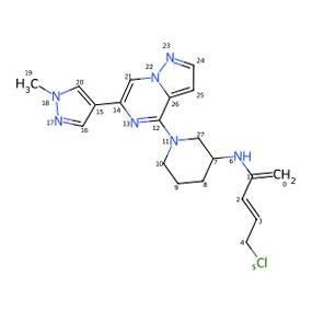 C=C(/C=C/CCl)NC1CCCN(c2nc(-c3cnn(C)c3)cn3nccc23)C1